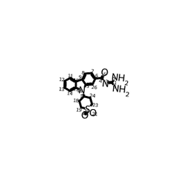 NC(N)=NC(=O)c1ccc2c3ccccc3n(C3CCS(=O)(=O)CC3)c2c1